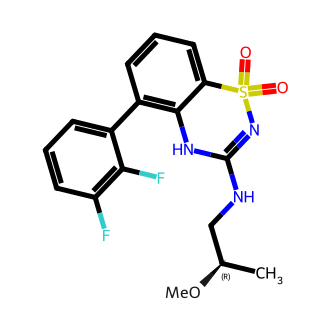 CO[C@H](C)CNC1=NS(=O)(=O)c2cccc(-c3cccc(F)c3F)c2N1